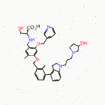 Cc1cc(CN[C@@H](CO)C(=O)O)c(OCc2cccnc2)cc1OCc1cccc(-c2cccc3c2CCN3CCCN2CCC(O)C2)c1C